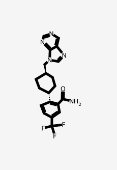 NC(=O)c1cc(C(F)(F)F)ccc1[C@H]1CC[C@H](Cn2cnc3cncnc32)CC1